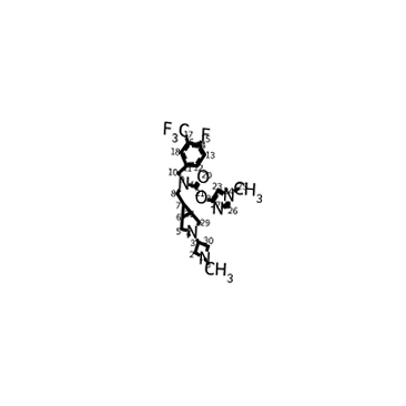 CN1CC(N2CC3C(CN(Cc4ccc(F)c(C(F)(F)F)c4)C(=O)Oc4cn(C)cn4)C3C2)C1